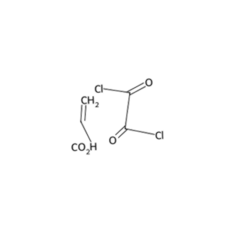 C=CC(=O)O.O=C(Cl)C(=O)Cl